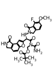 COc1ccc2c(c1F)C(=O)N(P[C@@H](C(=O)N(COC(=O)C(C)(C)C)C(N)=O)c1cc3c4c(ccc3o1)CNC4=O)C2